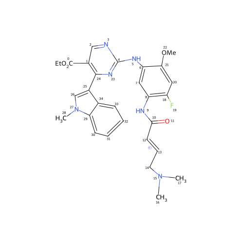 CCOC(=O)c1cnc(Nc2cc(NC(=O)/C=C/CN(C)C)c(F)cc2OC)nc1-c1cn(C)c2ccccc12